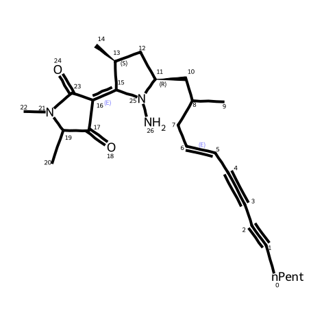 CCCCCC#CC#C/C=C/CC(C)C[C@@H]1C[C@H](C)/C(=C2/C(=O)C(C)N(C)C2=O)N1N